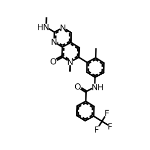 CNc1ncc2cc(-c3cc(NC(=O)c4cccc(C(F)(F)F)c4)ccc3C)n(C)c(=O)c2n1